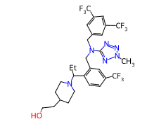 CCC(c1ccc(C(F)(F)F)cc1CN(Cc1cc(C(F)(F)F)cc(C(F)(F)F)c1)c1nnn(C)n1)N1CCC(CCO)CC1